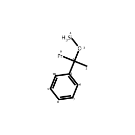 CC(C)C(C)(O[SiH3])c1ccccc1